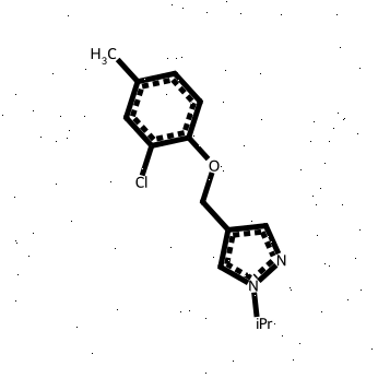 Cc1ccc(OCc2cnn(C(C)C)c2)c(Cl)c1